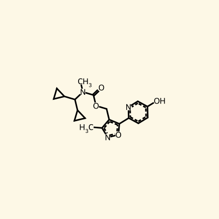 Cc1noc(-c2ccc(O)cn2)c1COC(=O)N(C)C(C1CC1)C1CC1